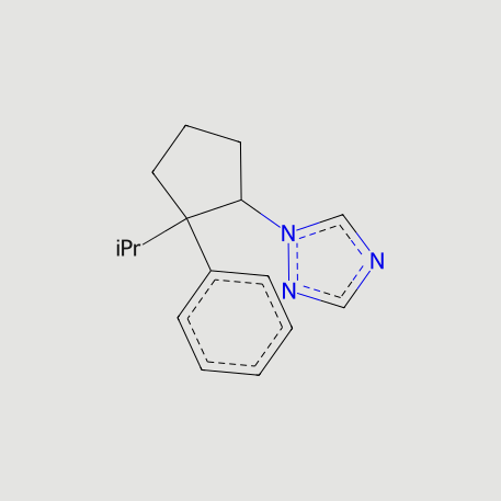 CC(C)C1(c2ccccc2)CCCC1n1cncn1